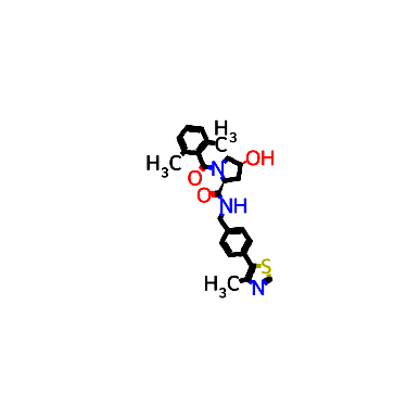 Cc1cccc(C)c1C(=O)N1C[C@H](O)C[C@H]1C(=O)NCc1ccc(-c2scnc2C)cc1